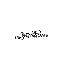 COC(=O)c1ncc(N2CCN(C(=O)OC(C)(C)C)CC2)nc1C